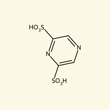 O=S(=O)(O)c1cncc(S(=O)(=O)O)n1